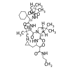 C=CCNC(=O)C(=O)C(CC1CC1)NC(=O)[C@@H]1[C@@H]2[C@H](CN1C(=O)[C@@H](NC(=O)[C@@H](NS(=O)(=O)C(C)(C)C)C1(C)CCCCC1)C(C)(C)C)C2(C)C